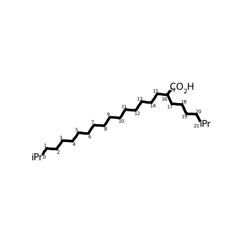 CC(C)CCCCCCCCCCCCCCCC(CCCCC(C)C)C(=O)O